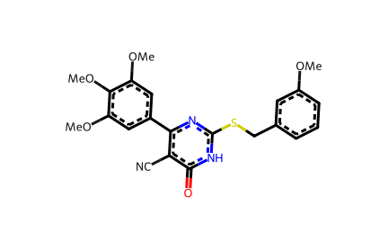 COc1cccc(CSc2nc(-c3cc(OC)c(OC)c(OC)c3)c(C#N)c(=O)[nH]2)c1